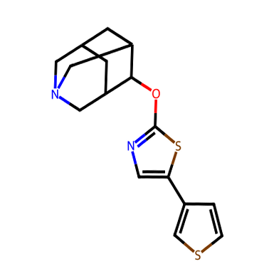 c1cc(-c2cnc(OC3C4CC5CC3CN(C5)C4)s2)cs1